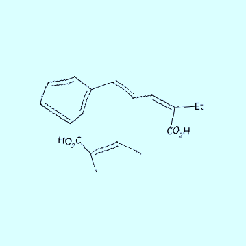 CC=C(C)C(=O)O.CCC(=CC=Cc1ccccc1)C(=O)O